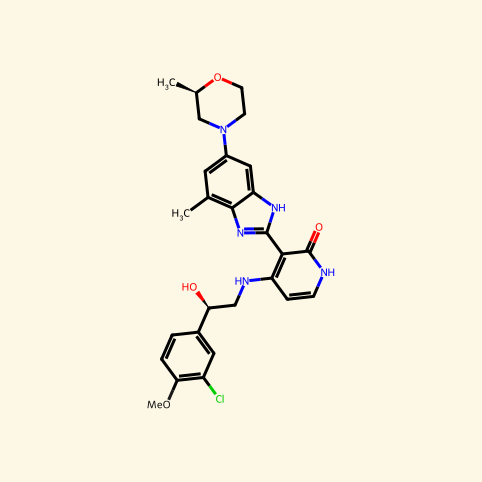 COc1ccc([C@@H](O)CNc2cc[nH]c(=O)c2-c2nc3c(C)cc(N4CCO[C@H](C)C4)cc3[nH]2)cc1Cl